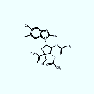 CC(=O)O[C@H]1[C@H](n2c(Br)nc3cc(Cl)c(Cl)cc32)O[C@@](CO)(C(C)=O)[C@H]1OC(C)=O